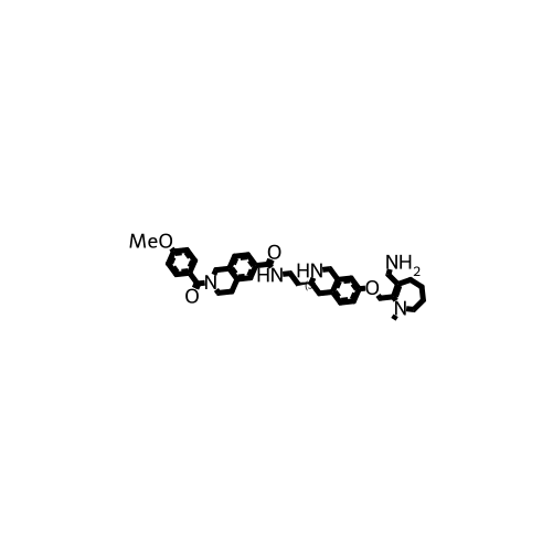 COc1ccc(C(=O)N2CCc3cc(C(=O)NCC[C@@H]4Cc5ccc(OCC6=C(CN)CCCCN6C)cc5CN4)ccc3C2)cc1